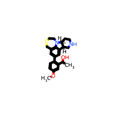 COc1ccc(-c2cc3c4c(c2)[C@@H]2CNCC[C@@H]2N4CCSC3)c(C(C)O)c1